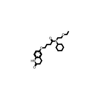 CCOCCN(C(=O)CCCOc1ccc2c(c1)CCC(=O)N2)C1CCCCC1